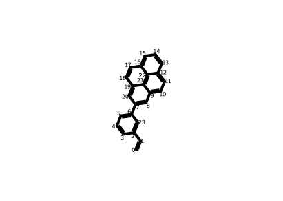 C=Cc1cccc(-c2cc3ccc4cccc5ccc(c2)c3c45)c1